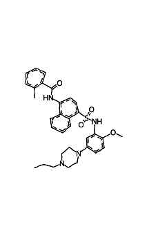 CCCN1CCN(c2ccc(OC)c(NS(=O)(=O)c3ccc(NC(=O)c4ccccc4C)c4ccccc34)c2)CC1